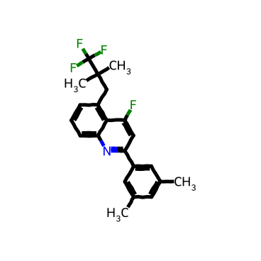 Cc1cc(C)cc(-c2cc(F)c3c(CC(C)(C)C(F)(F)F)cccc3n2)c1